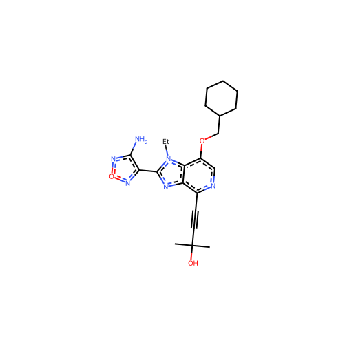 CCn1c(-c2nonc2N)nc2c(C#CC(C)(C)O)ncc(OCC3CCCCC3)c21